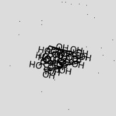 OC12C3C4C5C6C7C4C4(O)C8(O)C3C3(O)C9C%10C%11C%12C%13C%14C%15C%16C%17C%18C(C7(O)C%17C4(O)C(O)(C%16%13)C8(O)C%129)C4(O)C7(O)C8C%18(O)C%15(O)C9C8(O)C8(O)C%12C%13C(C%11(O)C%14(O)C%139O)C9(O)C%10(O)C(C13)C1C3C%10C(C5(O)C32)C(O)(C7C8C%10(O)C%12C19O)C64O